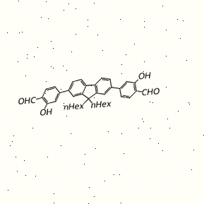 CCCCCCC1(CCCCCC)c2cc(-c3ccc(C=O)c(O)c3)ccc2-c2ccc(-c3ccc(C=O)c(O)c3)cc21